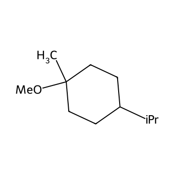 COC1(C)CCC(C(C)C)CC1